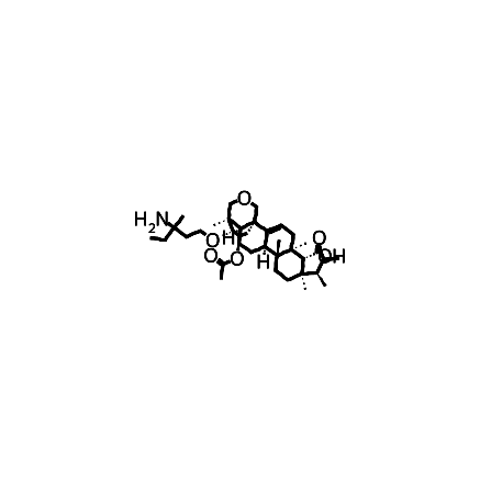 CCC(C)(N)CCO[C@H]1[C@H](OC(C)=O)C[C@@]23COC[C@@]1(C)[C@@H]2CC[C@H]1C3=CC[C@@]2(C)[C@H](C(=O)O)[C@@](C)([C@H](C)C(C)C)CC[C@]12C